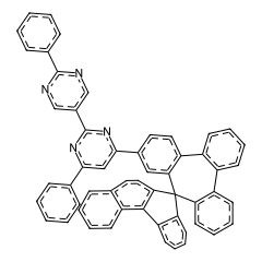 c1ccc(-c2cc(-c3ccc4c(c3)C3(c5ccccc5-c5ccccc5-4)c4ccccc4-c4c3ccc3ccccc43)nc(-c3cnc(-c4ccccc4)nc3)n2)cc1